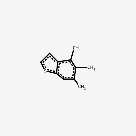 Cc1cc2sccc2c(C)c1C